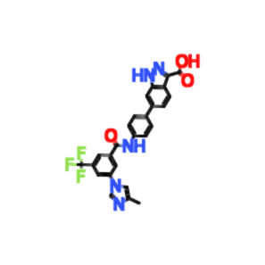 Cc1cn(-c2cc(C(=O)Nc3ccc(-c4ccc5c(C(=O)O)n[nH]c5c4)cc3)cc(C(F)(F)F)c2)cn1